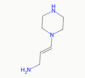 NCC=CN1CCNCC1